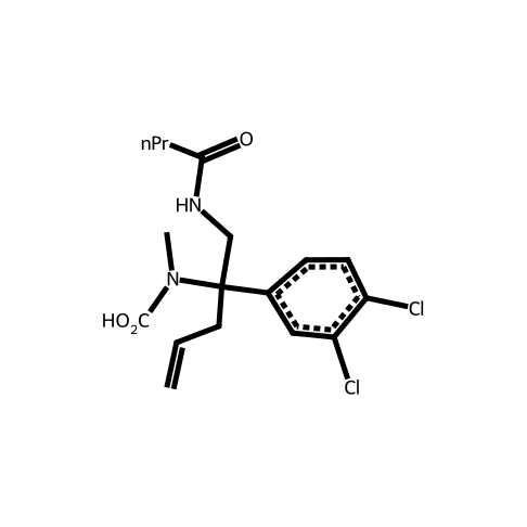 C=CCC(CNC(=O)CCC)(c1ccc(Cl)c(Cl)c1)N(C)C(=O)O